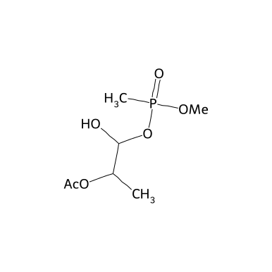 COP(C)(=O)OC(O)C(C)OC(C)=O